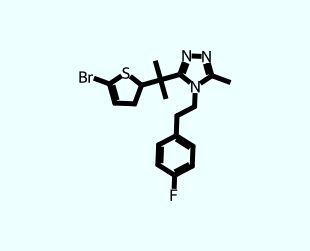 Cc1nnc(C(C)(C)C2CC=C(Br)S2)n1CCc1ccc(F)cc1